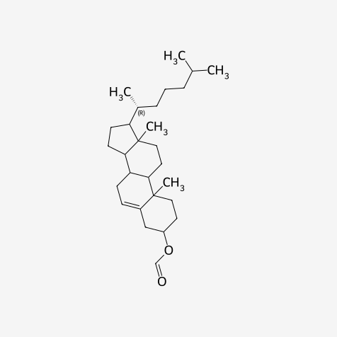 CC(C)CCC[C@@H](C)C1CCC2C3CC=C4CC(OC=O)CCC4(C)C3CCC21C